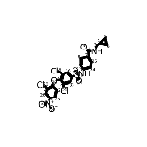 O=C(NCC1CC1)c1ccc(NS(=O)(=O)c2cc(Cl)c(Oc3ccc([N+](=O)[O-])cc3Cl)c(Cl)c2)cc1